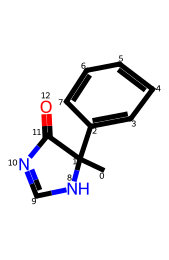 CC1(c2ccccc2)NC=NC1=O